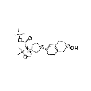 CC(C)(C)OC(=O)N1C(C)(C)OC[C@@]12CC[C@H](c1ccc3c(c1)CC[C@H](O)C3)C2